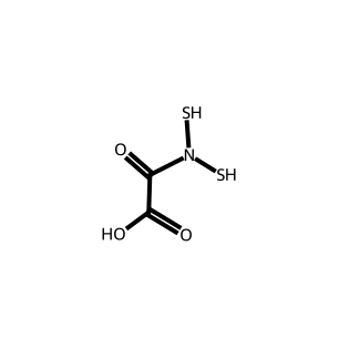 O=C(O)C(=O)N(S)S